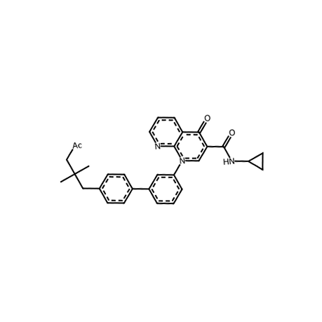 CC(=O)CC(C)(C)Cc1ccc(-c2cccc(-n3cc(C(=O)NC4CC4)c(=O)c4cccnc43)c2)cc1